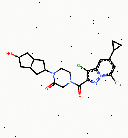 O=C(c1nn2c(C(F)(F)F)cc(C3CC3)cc2c1Cl)N1CCN(C2CC3CC(O)CC3C2)C(=O)C1